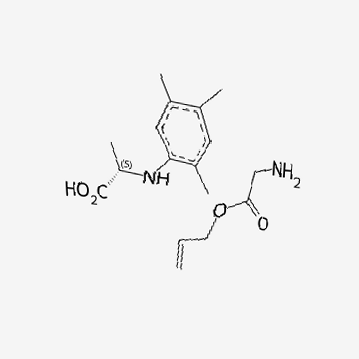 C=CCOC(=O)CN.Cc1cc(C)c(N[C@@H](C)C(=O)O)cc1C